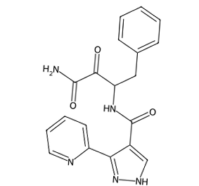 NC(=O)C(=O)C(Cc1ccccc1)NC(=O)c1c[nH]nc1-c1ccccn1